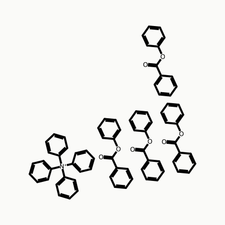 O=C(Oc1ccccc1)c1ccccc1.O=C(Oc1ccccc1)c1ccccc1.O=C(Oc1ccccc1)c1ccccc1.O=C(Oc1ccccc1)c1ccccc1.c1ccc([N+](c2ccccc2)(c2ccccc2)c2ccccc2)cc1